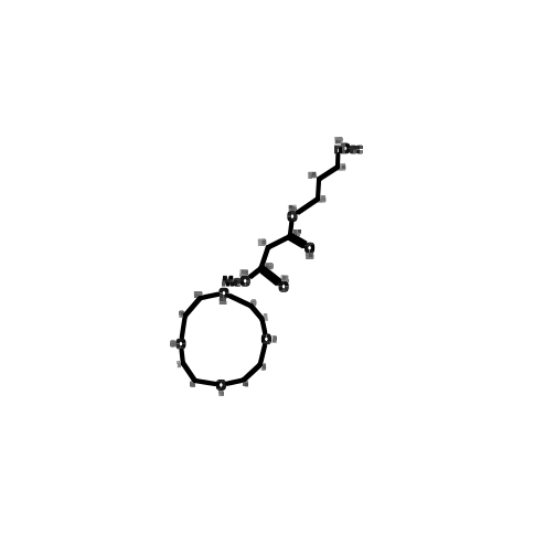 C1COCCOCCOCCO1.CCCCCCCCCCCCCOC(=O)CC(=O)OC